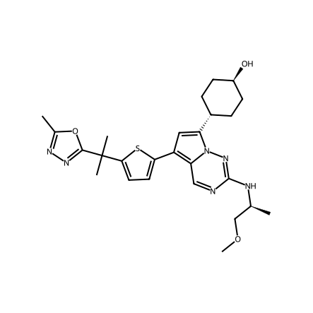 COC[C@H](C)Nc1ncc2c(-c3ccc(C(C)(C)c4nnc(C)o4)s3)cc([C@H]3CC[C@H](O)CC3)n2n1